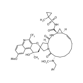 COc1ccc2nc(C(F)(F)F)c3c(c2c1)[C@](C)(O)C[C@]1(C[C@H]2C(=O)N[C@]4(C(=O)NS(=O)(=O)C5(C)CC5)C[C@H]4/C=C\CCCCC[C@H](N(CC(C)C)C(=O)O)C(=O)N2C1)O3